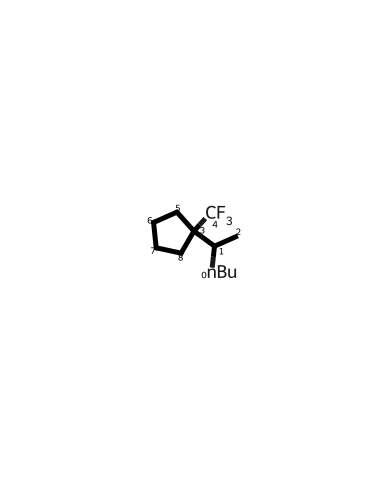 CCCCC(C)C1(C(F)(F)F)CCCC1